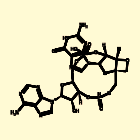 Nc1nc2c(ncn2[C@@H]2O[C@@]34CO[C@H]3[C@H]2OP(=O)(O)OCC2O[C@@H](n3cnc5c(N)ncnc53)[C@H](O)[C@@H]2O[PH](=O)OC4)c(=O)[nH]1